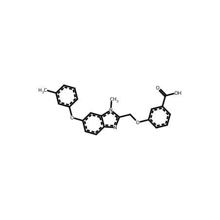 Cc1cccc(Oc2ccc3nc(COc4cccc(C(=O)O)c4)n(C)c3c2)c1